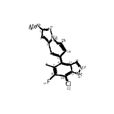 CNc1cc2cc(-c3c(C)c(F)c(Cl)c4[nH]ncc34)ccn2n1